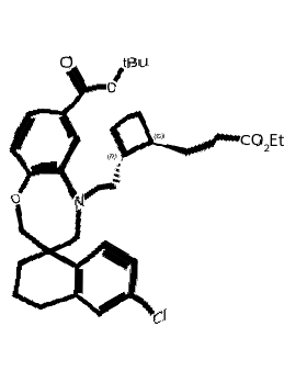 CCOC(=O)CC[C@@H]1CC[C@H]1CN1CC2(CCCc3cc(Cl)ccc32)COc2ccc(C(=O)OC(C)(C)C)cc21